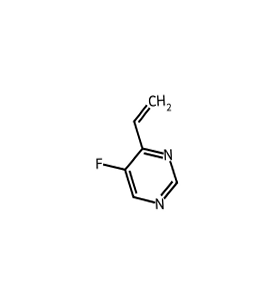 C=Cc1ncncc1F